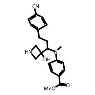 COC(=O)c1ccc(N(C)C(CCc2ccc(C#N)cc2)C2(O)CNC2)cc1